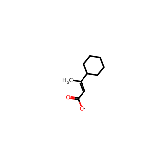 CC(=CC([O])=O)C1CCCCC1